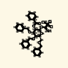 N=C(O[C@H]1O[C@H](COCc2ccccc2)[C@@H](OCc2ccccc2)[C@H](OCc2ccccc2)[C@@H]1OC(=O)c1ccccc1)C(Cl)(Cl)Cl